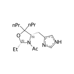 CCCC1(CCC)O[C@@H](CC)N(C(C)=O)[C@H]1Cc1c[nH]cn1